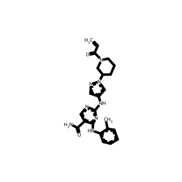 C=CC(=O)N1CCCC(n2cc(Nc3ncc(C(N)=O)c(Nc4ccccc4C)n3)cn2)C1